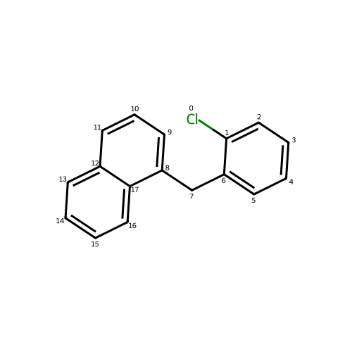 Clc1ccccc1Cc1cccc2ccccc12